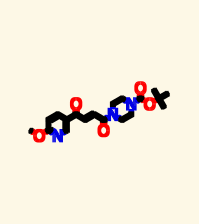 COc1ccc(C(=O)/C=C/C(=O)N2CCN(C(=O)OC(C)(C)C)CC2)cn1